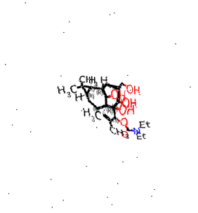 CCN(CC)C(=O)O[C@H]1C(C)=C[C@]23C(O)[C@@H](C=C(CO)[C@@H](O)[C@]12O)[C@H]1[C@@H](C[C@H]3C)C1(C)C